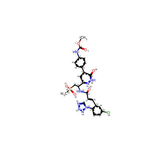 COC(=O)Nc1ccc(-c2cc(C(CS(C)(=O)=O)NC(=O)/C=C/c3cc(Cl)ccc3-n3cnnn3)n[nH]c2=O)cc1